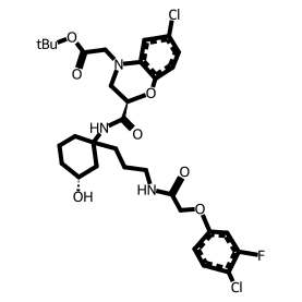 CC(C)(C)OC(=O)CN1C[C@H](C(=O)NC2(CCCNC(=O)COc3ccc(Cl)c(F)c3)CCC[C@@H](O)C2)Oc2ccc(Cl)cc21